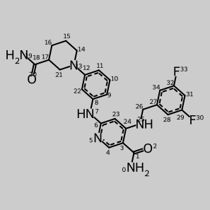 NC(=O)c1cnc(Nc2cccc(N3CCCC(C(N)=O)C3)c2)cc1NCc1cc(F)cc(F)c1